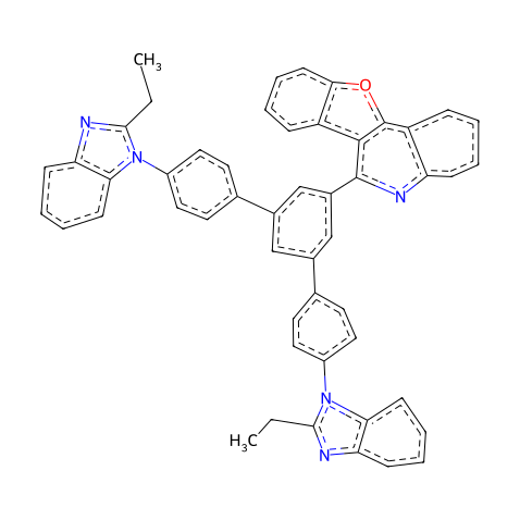 CCc1nc2ccccc2n1-c1ccc(-c2cc(-c3ccc(-n4c(CC)nc5ccccc54)cc3)cc(-c3nc4ccccc4c4oc5ccccc5c34)c2)cc1